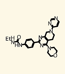 CCNC(=O)Nc1ccc(-c2nc3c(c(N4CCOCC4)n2)CCN(c2ccncn2)C3)cc1